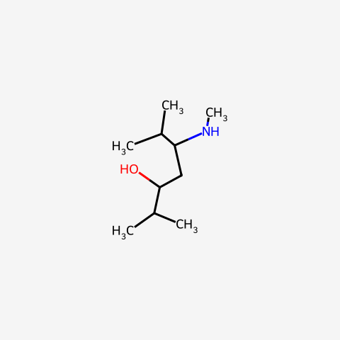 CNC(CC(O)C(C)C)C(C)C